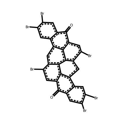 O=c1c2cc(Br)c(Br)cc2c2cc3c(Br)cc4c(=O)c5cc(Br)c(Br)cc5c5cc6c(Br)cc1c2c6c3c45